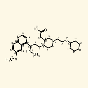 CN[C@H](CC[C@@H]1CCN(CCSC2CCCCC2)C[C@@H]1CC(=O)O)c1ccnc2ccc(OC)cc12